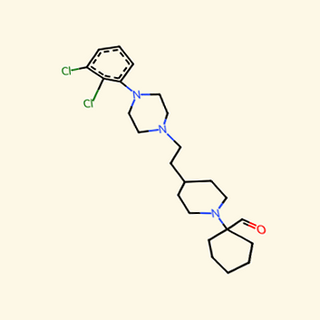 O=CC1(N2CCC(CCN3CCN(c4cccc(Cl)c4Cl)CC3)CC2)CCCCC1